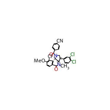 COc1ccc(C(=O)N(C)[C@@H]2CN(C(=O)c3ccc(C#N)cc3)C[C@H]2c2ccc(Cl)c(Cl)c2)cc1C(F)(F)F